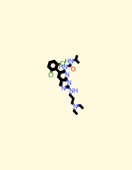 CCN(CC)CCCNc1ncc2cc(-c3c(Cl)cccc3Cl)c(NC(=O)NC(C)C)nc2n1